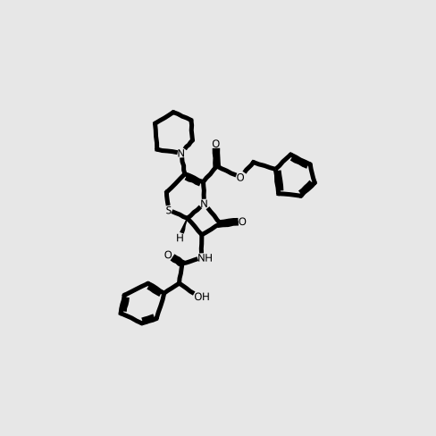 O=C(OCc1ccccc1)C1=C(N2CCCCC2)CS[C@H]2C(NC(=O)C(O)c3ccccc3)C(=O)N12